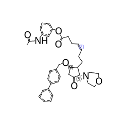 CC(=O)Nc1cccc(OC(=O)CC/C=C\CCC2[C@H](N3CCOCC3)C(=O)C[C@H]2OCc2ccc(-c3ccccc3)cc2)c1